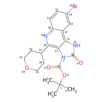 CC(C)(C)OC(=O)n1c(=O)[nH]c2c3cc(Br)ccc3nc(C3CCOCC3)c21